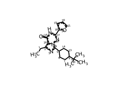 CCc1nc(C2CCC(C(C)(C)C)CC2)n2nc(-c3ccco3)[nH]c(=O)c12